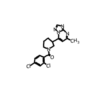 Cc1cc(C2CCCN(C(=O)c3ccc(Cl)cc3Cl)C2)n2ncnc2n1